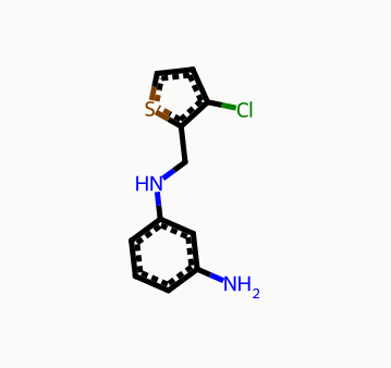 Nc1cccc(NCc2sccc2Cl)c1